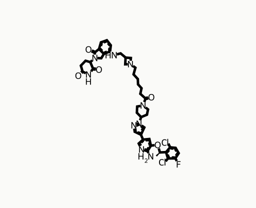 C[C@@H](Oc1cc(-c2cnn(C3CCN(C(=O)CCCCCCN4CC(CNc5cccc6c5CN(C5CCC(=O)NC5=O)C6=O)C4)CC3)c2)cnc1N)c1c(Cl)ccc(F)c1Cl